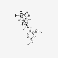 COc1ccc(CN(C)[C@@H]2C[C@H]3[C@@H]2C[C@@H]2O[C@H]32)c(OC)c1